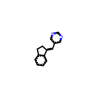 C(=C1/CCc2ccccc21)/c1cncnc1